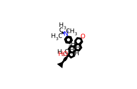 CC(C)N(C)c1ccc([C@H]2C[C@@]3(C)[C@@H](CC[C@@]3(O)C#CC3CC3)[C@@H]3CCC4=CC(=O)CC[C@@H]4[C@H]32)cc1